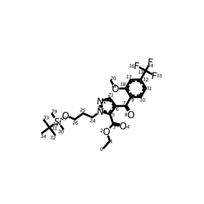 CCOC(=O)c1c(C(=O)c2ccc(C(F)(F)F)cc2OC)cnn1CCCO[Si](C)(C)C(C)(C)C